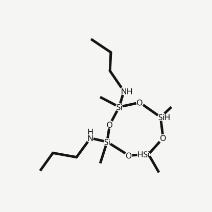 CCCN[Si]1(C)O[SiH](C)O[SiH](C)O[Si](C)(NCCC)O1